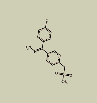 CS(=O)(=O)Cc1ccc(C(=NN)c2ccc(Cl)cc2)cc1